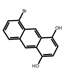 Oc1ccc(O)c2cc3c(Br)cccc3cc12